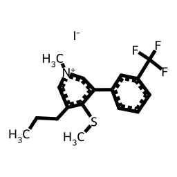 CCCc1c[n+](C)cc(-c2cccc(C(F)(F)F)c2)c1SC.[I-]